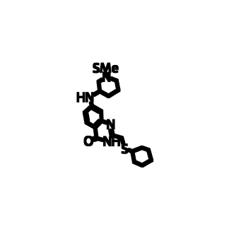 CSN1CCCC(Nc2ccc3c(=O)[nH]c(CSC4CCCCC4)nc3c2)C1